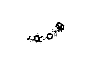 CC(C)Oc1cc(F)c(CO[C@H]2CC[C@@H](NC(=O)NC34CC5CC(CC(C5)C3)C4)CC2)c(F)c1